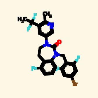 Cc1ncc(N2CCc3c(F)cccc3N(Cc3c(F)cc(Br)cc3F)C2=O)cc1C(C)(F)F